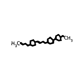 CC=CCCC1CCC(C=CCCC2CCC(C3CCC(CC)CC3)CC2)CC1